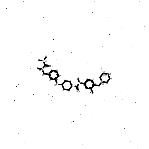 Cc1cc(N(C)C(=O)[C@H]2CC[C@H](Oc3cccc(CN(C)C(=O)N(C)C)c3)CC2)ccc1CN1CCN[C@@H](C)C1